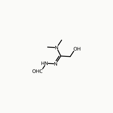 CN(C)/C(CO)=N\NC=O